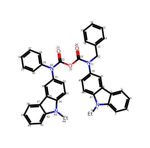 CCn1c2ccccc2c2cc(N(Cc3ccccc3)C(=O)OC(=O)N(c3ccccc3)c3ccc4c(c3)c3ccccc3n4CC)ccc21